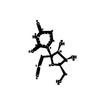 O=C=C[C@@]1(n2ccc(=O)[nH]c2=O)O[C@H](CO)[C@@H](O)[C@H]1O